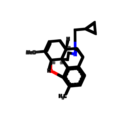 COC1=CC[C@@H]2C3Cc4ccc(C)c5c4[C@]2(CCN3CC2CC2)[C@@H]1O5